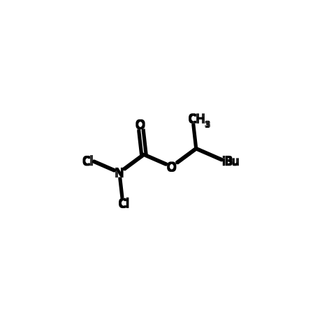 CCC(C)C(C)OC(=O)N(Cl)Cl